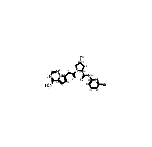 Nc1ncnn2c(CC(=O)N3C[C@H](F)C[C@H]3C(=O)Nc3cccc(Br)n3)ccc12